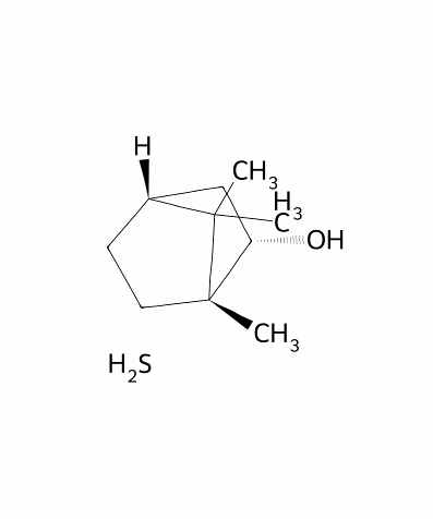 CC1(C)[C@@H]2CC[C@@]1(C)[C@@H](O)C2.S